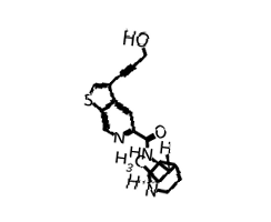 C[C@H]1[C@H](NC(=O)c2cc3c(C#CCO)csc3cn2)C2CCN1CC2